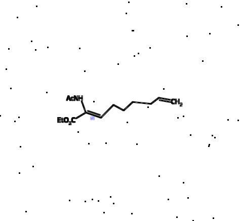 C=CCCCC/C=C(\NC(C)=O)C(=O)OCC